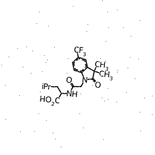 CC(C)CC(NC(=O)CN1C(=O)C(C)(C)c2cc(C(F)(F)F)ccc21)C(=O)O